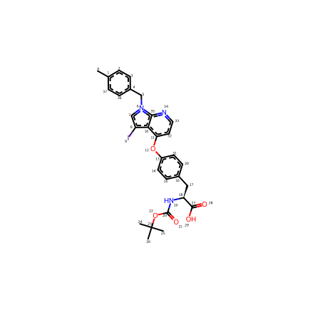 Cc1ccc(Cn2cc(I)c3c(Oc4ccc(C[C@H](NC(=O)OC(C)(C)C)C(=O)O)cc4)ccnc32)cc1